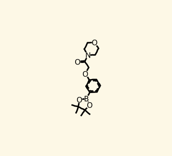 CC1(C)OB(c2cccc(OCC(=O)N3CCOCC3)c2)OC1(C)C